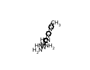 CN1CCN(C2CCN(c3ccc(C4(N)N=C(N)NN4)cn3)CC2)CC1